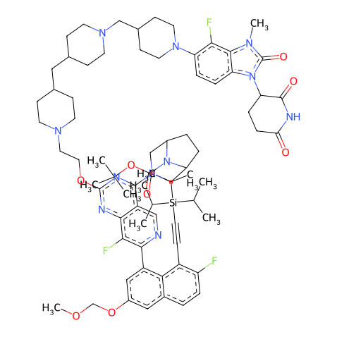 COCOc1cc(-c2ncc3c(N4CC5CCC(C4)N5C(=O)OC(C)(C)C)nc(OCCN4CCC(CC5CCN(CC6CCN(c7ccc8c(c7F)n(C)c(=O)n8C7CCC(=O)NC7=O)CC6)CC5)CC4)nc3c2F)c2c(C#C[Si](C(C)C)(C(C)C)C(C)C)c(F)ccc2c1